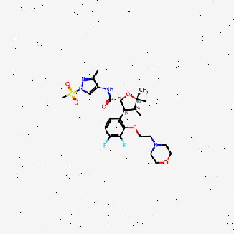 Cc1nn(S(C)(=O)=O)cc1NC(=O)[C@@H]1O[C@@](C)(C(F)(F)F)[C@@H](C)[C@H]1c1ccc(F)c(F)c1OCCN1CCOCC1